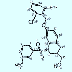 Cc1cccc(S(=O)(=O)N2CC(CO)Cc3ccc(OCc4c(F)cccc4Cl)cc32)c1